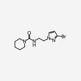 O=C(NCCn1ccc(Br)n1)N1CCCCC1